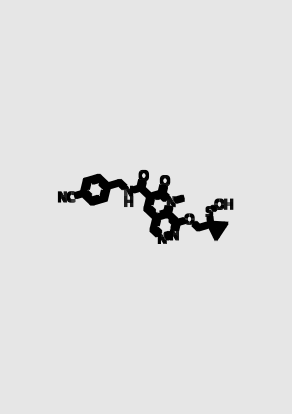 Cn1c(=O)c(C(=O)NCc2ccc(C#N)cc2)cc2cnnc(OCC3(SO)CC3)c21